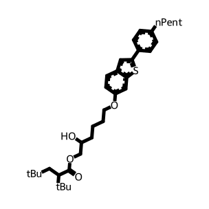 CCCCCc1ccc(-c2cc3ccc(OCCCCC(O)COC(=O)C(CC(C)(C)C)C(C)(C)C)cc3s2)cc1